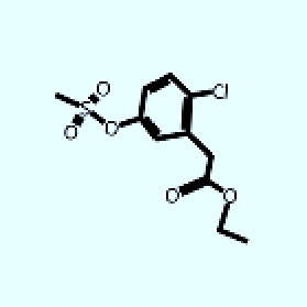 CCOC(=O)Cc1cc(OS(C)(=O)=O)ccc1Cl